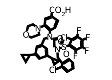 O=C(O)c1ccc(N(Cc2cc(C3CC3)cc(C3CC3)c2)C(=O)CN(Cc2ccccc2Cl)S(=O)(=O)c2c(F)c(F)c(F)c(F)c2Cl)c(N2CCOCC2)c1